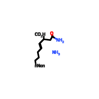 CCCCCCCCCCCCC=CC(CC(N)=O)C(=O)O.N